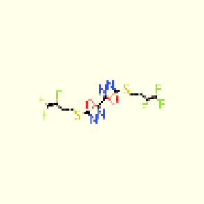 FC(F)=C(F)CCSc1nnc(-c2nnc(SCCC(F)=C(F)F)o2)o1